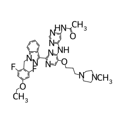 CCOc1cc(F)c(Cn2nc(-c3ncc(OCCCN4CCN(C)CC4)c(Nc4cc(NC(C)=O)ncn4)n3)c3ccccc32)c(F)c1